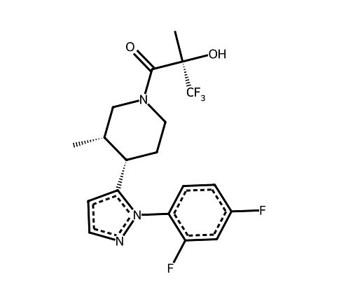 C[C@@H]1CN(C(=O)[C@@](C)(O)C(F)(F)F)CC[C@@H]1c1ccnn1-c1ccc(F)cc1F